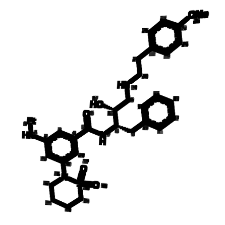 CCNc1cc(C(=O)N[C@@H](Cc2ccccc2)[C@H](O)CNCCc2ccc(OC)cc2)cc(N2CCCCS2(=O)=O)c1